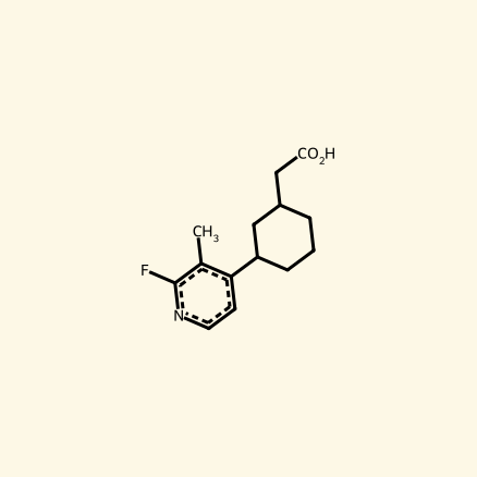 Cc1c(C2CCCC(CC(=O)O)C2)ccnc1F